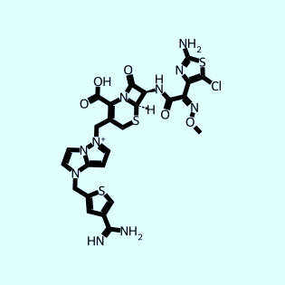 CO/N=C(\C(=O)N[C@@H]1C(=O)N2C(C(=O)O)=C(C[n+]3ccc4n(Cc5cc(C(=N)N)cs5)ccn43)CS[C@H]12)c1nc(N)sc1Cl